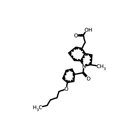 CCCCCOc1cccc(C(=O)n2c(C)cc3c(CC(=O)O)cccc32)c1